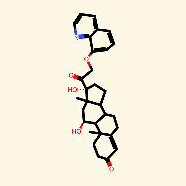 CC12CCC(=O)C=C1CCC1C2[C@@H](O)CC2(C)C1CC[C@]2(O)C(=O)COc1cccc2cccnc12